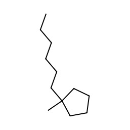 CCCCCCC1(C)CCCC1